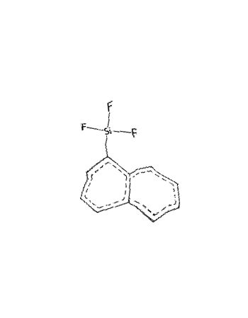 F[Si](F)(F)c1cccc2ccccc12